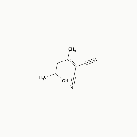 CC(CC(C)O)=C(C#N)C#N